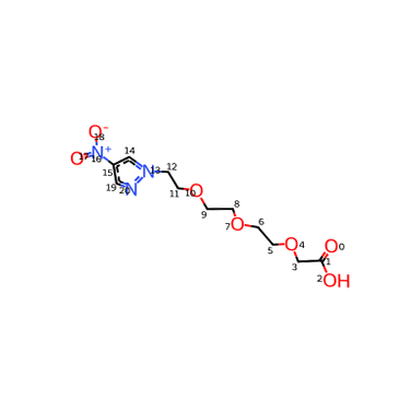 O=C(O)COCCOCCOCCn1cc([N+](=O)[O-])cn1